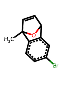 CC12C=CC(O1)c1cc(Br)ccc12